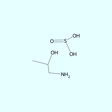 CC(O)CN.O=S(O)O